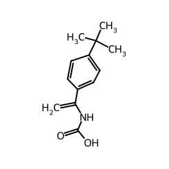 C=C(NC(=O)O)c1ccc(C(C)(C)C)cc1